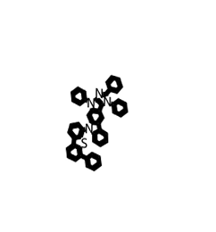 c1ccc(-c2cccc3c2sc2c(-n4c5ccccc5c5cc6c7c(nc(-c8ccccc8)n7-c7ccccc7)n(-c7ccccc7)c6cc54)cccc23)cc1